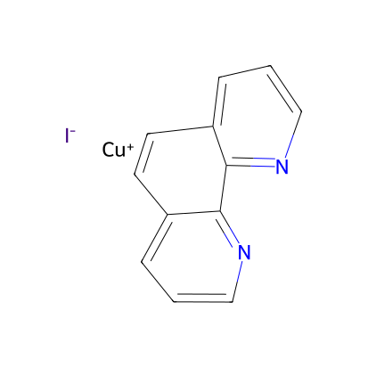 [Cu+].[I-].c1cnc2c(c1)ccc1cccnc12